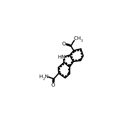 CC(=O)c1cccc2c1[nH]c1cc(C(N)=O)ccc12